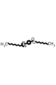 CCCCCCCCCOC(=O)c1ccc(-c2ncc(CCCCCCCCC)cn2)cc1